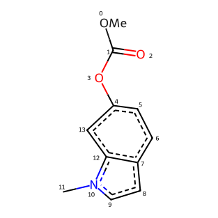 COC(=O)Oc1ccc2ccn(C)c2c1